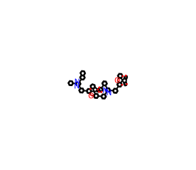 c1ccc(-c2nc(-c3cccc(-c4ccc5c(c4)Oc4ccc(-c6cccc(-c7nc(-c8cccc(-c9ccc%10c(c9)Oc9ccccc9C%109c%10ccccc%10-c%10ccccc%109)c8)cc(-c8ccccc8-c8ccccc8)n7)c6)cc4C54c5ccccc5-c5ccccc54)c3)cc(-c3ccc4ccccc4c3)n2)cc1